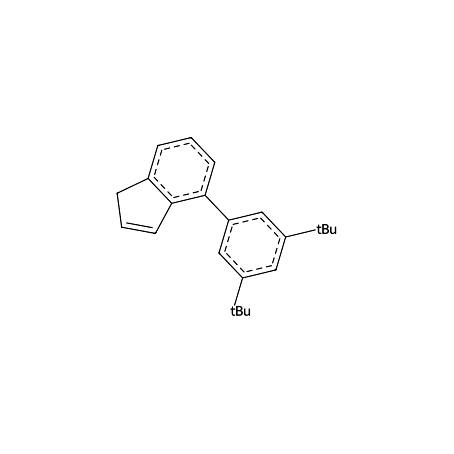 CC(C)(C)c1cc(-c2cccc3c2C=CC3)cc(C(C)(C)C)c1